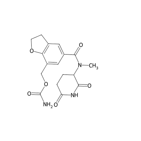 CN(C(=O)c1cc2c(c(COC(N)=O)c1)OCC2)C1CCC(=O)NC1=O